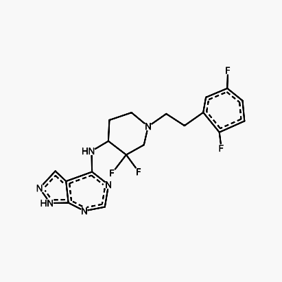 Fc1ccc(F)c(CCN2CCC(Nc3ncnc4[nH]ncc34)C(F)(F)C2)c1